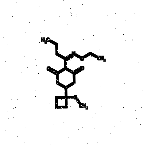 CCC/C(=N/OCC)C1C(=O)CC(C2(SC)CCC2)CC1=O